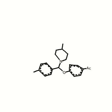 CC(=O)c1ccc(OC(c2ccc(C)cc2)N2CCC(C)CC2)cc1